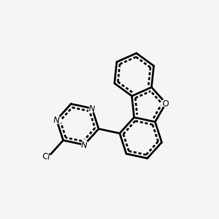 Clc1ncnc(-c2cccc3oc4ccccc4c23)n1